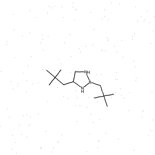 CC(C)(C)CB1NCC(CC(C)(C)C)N1